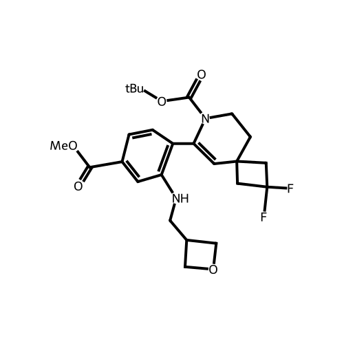 COC(=O)c1ccc(C2=CC3(CCN2C(=O)OC(C)(C)C)CC(F)(F)C3)c(NCC2COC2)c1